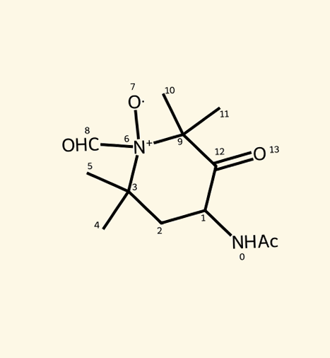 CC(=O)NC1CC(C)(C)[N+]([O])(C=O)C(C)(C)C1=O